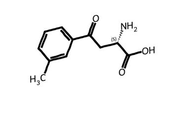 Cc1cccc(C(=O)C[C@H](N)C(=O)O)c1